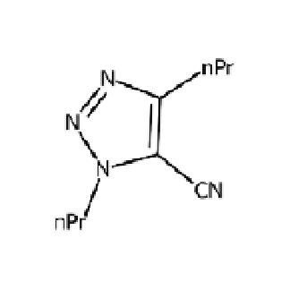 CCCc1nnn(CCC)c1C#N